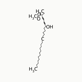 C=CC(C#CC#CC(O)CCCCCCCCCCCCCCCCCCCCC)OC(C)=O